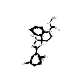 CC(=O)N1N=C(c2cc(F)ccc2F)SC12CCN(C(=O)OC(C)(C)C)c1ccccc12